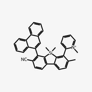 Cc1ccc2c(c1-c1cccc[n+]1C)[Si](C)(C)c1c-2ccc(C#N)c1-c1cc2ccccc2c2ccccc12